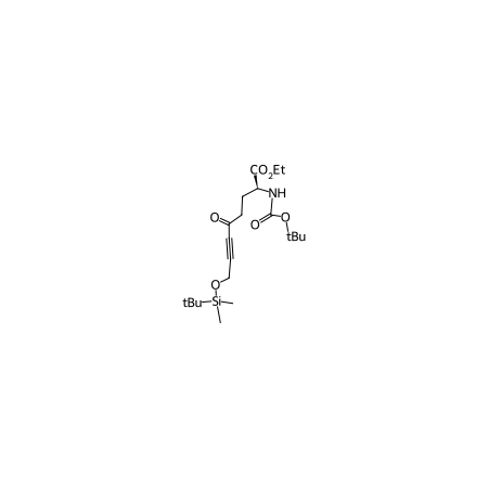 CCOC(=O)[C@H](CCC(=O)C#CCO[Si](C)(C)C(C)(C)C)NC(=O)OC(C)(C)C